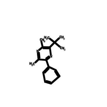 Cc1nc(C)c(C(C)(C)C)nc1-c1ccccc1